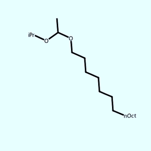 CCCCCCCCCCCCCCCOC(C)OC(C)C